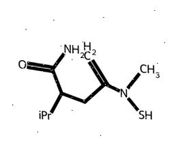 C=C(CC(C(N)=O)C(C)C)N(C)S